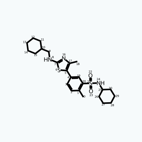 Cc1ccc(-c2sc(NCC3CCCCC3)nc2C)cc1S(=O)(=O)NC1CCCCC1